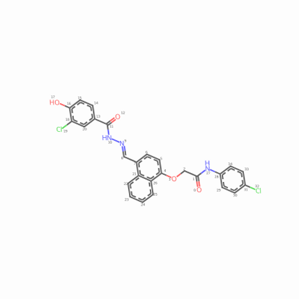 O=C(COc1ccc(C=NNC(=O)c2ccc(O)c(Cl)c2)c2ccccc12)Nc1ccc(Cl)cc1